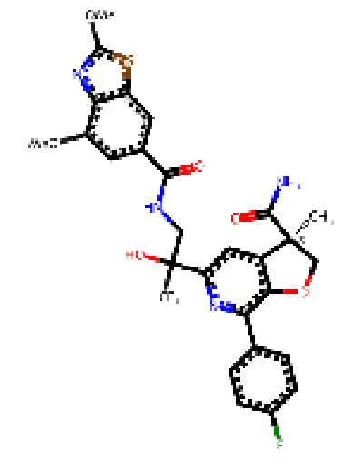 COc1nc2c(OC)cc(C(=O)NCC(O)(c3cc4c(c(-c5ccc(F)cc5)n3)OC[C@]4(C)C(N)=O)C(F)(F)F)cc2s1